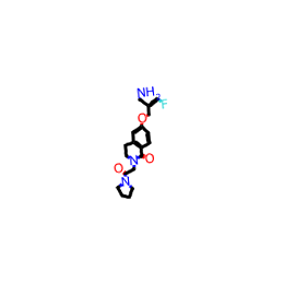 NC/C(=C/F)COc1ccc2c(c1)CCN(CC(=O)N1CCCC1)C2=O